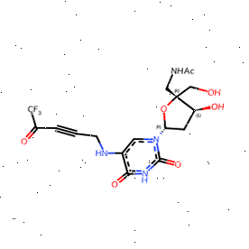 CC(=O)NC[C@]1(CO)O[C@@H](n2cc(NCC#CC(=O)C(F)(F)F)c(=O)[nH]c2=O)C[C@@H]1O